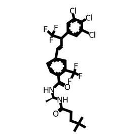 C[C@H](NC(=O)CCC(C)(C)C)NC(=O)c1ccc(/C=C/C(c2cc(Cl)c(Cl)c(Cl)c2)C(F)(F)F)cc1C(F)(F)F